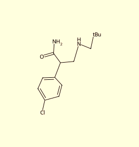 CC(C)(C)CNCC(C(N)=O)c1ccc(Cl)cc1